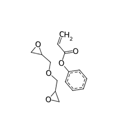 C(OCC1CO1)C1CO1.C=CC(=O)Oc1ccccc1